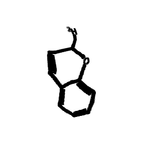 [2H]C1C=Cc2ccccc2O1